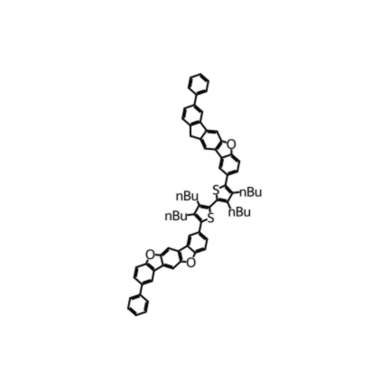 CCCCc1c(-c2ccc3oc4cc5c(cc4c3c2)Cc2ccc(-c3ccccc3)cc2-5)sc(-c2sc(-c3ccc4oc5cc6c(cc5c4c3)oc3ccc(-c4ccccc4)cc36)c(CCCC)c2CCCC)c1CCCC